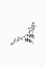 C[C@@H](N)C(CNc1cc(F)c(S(=O)(=O)Nc2ncns2)cc1Cl)CC(C)(C)CNCC(=O)O